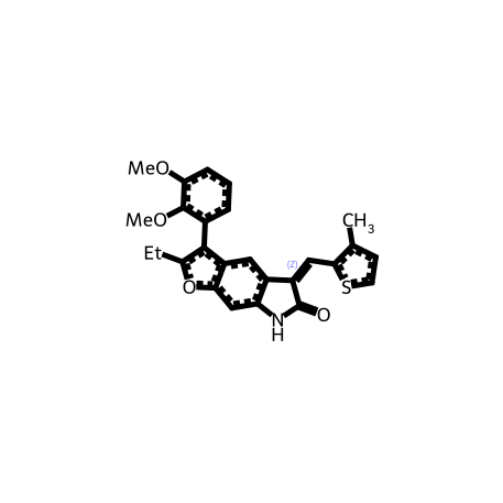 CCc1oc2cc3c(cc2c1-c1cccc(OC)c1OC)/C(=C/c1sccc1C)C(=O)N3